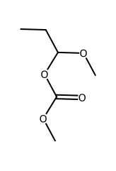 CCC(OC)OC(=O)OC